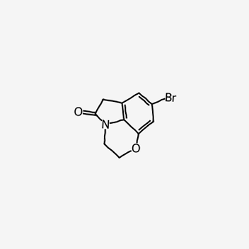 O=C1Cc2cc(Br)cc3c2N1CCO3